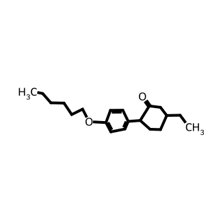 CCCCCCOc1ccc(C2CCC(CC)CC2=O)cc1